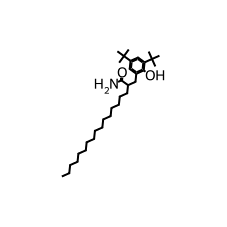 CCCCCCCCCCCCCCCCC(Cc1cc(C(C)(C)C)cc(C(C)(C)C)c1O)C(N)=O